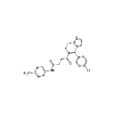 Cc1ccc(NC(=O)CCC(=O)N2CCc3sccc3C2c2ccc(Cl)cc2)cc1